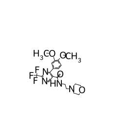 COc1ccc(-c2nc(C(F)(F)F)ncc2C(=O)NCCN2CCOCC2)cc1OC